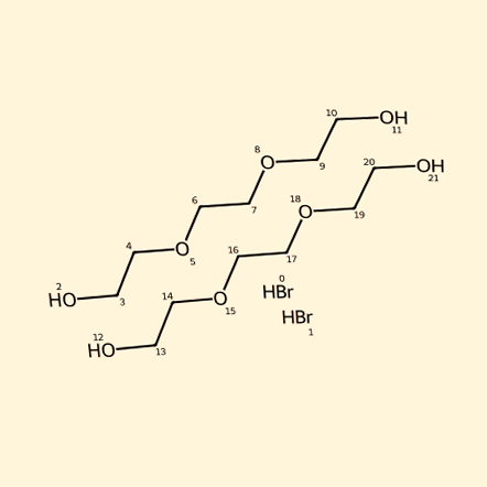 Br.Br.OCCOCCOCCO.OCCOCCOCCO